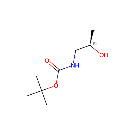 [CH2][C@@H](O)CNC(=O)OC(C)(C)C